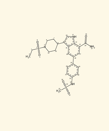 CCS(=O)(=O)N1CCC(c2c[nH]c3c(C(N)=O)cc(-c4ccc(NS(C)(=O)=O)cc4)cc23)CC1